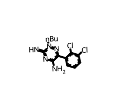 CCCCn1nc(-c2cccc(Cl)c2Cl)c(N)nc1=N